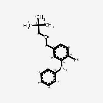 CC(C)(C)COCc1ccc(F)c(Oc2ccccc2)c1